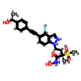 C[C@@H](O)c1ccc(C#Cc2ccc3c(cnn3CC[C@](C)(C(=O)NO)S(C)(=O)=O)c2F)cc1